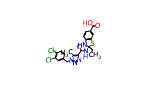 CCC1(NC(=O)c2nnn(Cc3ccc(Cl)c(Cl)c3)c2C)Nc2ccc(C(=O)O)cc2S1